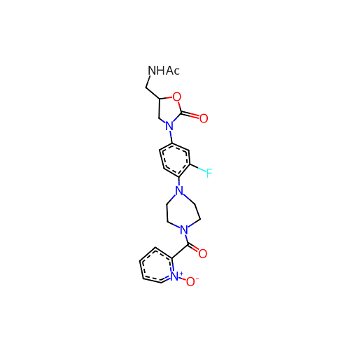 CC(=O)NCC1CN(c2ccc(N3CCN(C(=O)c4cccc[n+]4[O-])CC3)c(F)c2)C(=O)O1